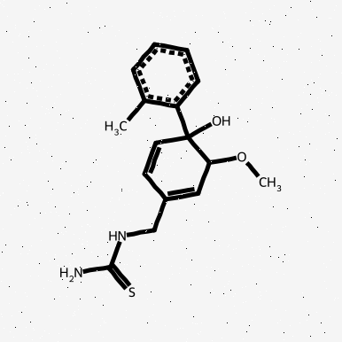 COC1C=C(CNC(N)=S)C=CC1(O)c1ccccc1C